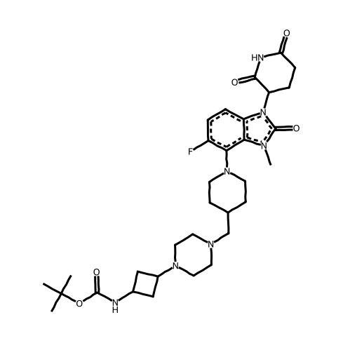 Cn1c(=O)n(C2CCC(=O)NC2=O)c2ccc(F)c(N3CCC(CN4CCN(C5CC(NC(=O)OC(C)(C)C)C5)CC4)CC3)c21